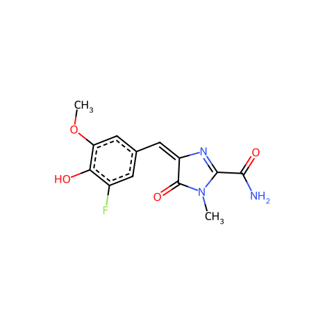 COc1cc(C=C2N=C(C(N)=O)N(C)C2=O)cc(F)c1O